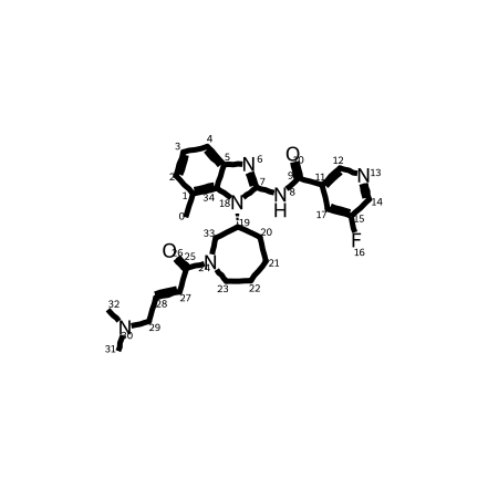 Cc1cccc2nc(NC(=O)c3cncc(F)c3)n([C@@H]3CCCCN(C(=O)C=CCN(C)C)C3)c12